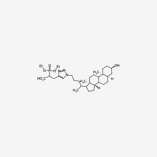 CCOP(=O)(OCC)C(Cc1cn(CCCC(C)C2CC[C@H]3C4CC[C@@H]5C[C@H](O)CC[C@]5(C)C4CC[C@]23C)nn1)C(=O)O